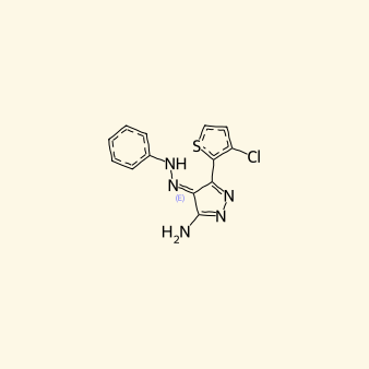 NC1=NN=C(c2sccc2Cl)/C1=N\Nc1ccccc1